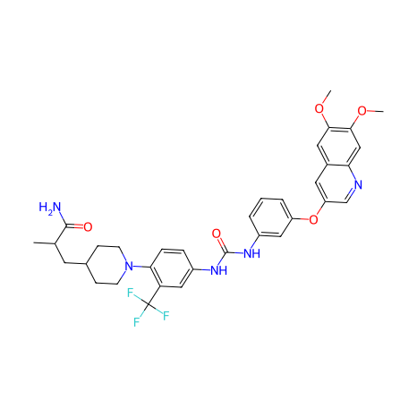 COc1cc2cc(Oc3cccc(NC(=O)Nc4ccc(N5CCC(CC(C)C(N)=O)CC5)c(C(F)(F)F)c4)c3)cnc2cc1OC